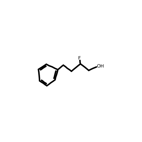 OCC(F)CCc1ccccc1